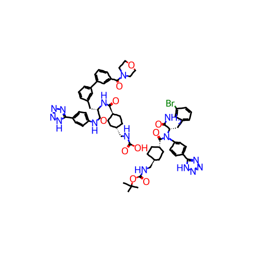 CC(C)(C)OC(=O)NC[C@H]1CC[C@H](C(=O)N(c2ccc(-c3nnn[nH]3)cc2)[C@@H](Cc2cccc(Br)c2)C(N)=O)CC1.O=C(O)NC[C@H]1CC[C@H](C(=O)N[C@@H](Cc2cccc(-c3cccc(C(=O)N4CCOCC4)c3)c2)C(=O)Nc2ccc(-c3nnn[nH]3)cc2)CC1